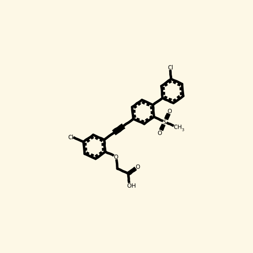 CS(=O)(=O)c1cc(C#Cc2cc(Cl)ccc2OCC(=O)O)ccc1-c1cccc(Cl)c1